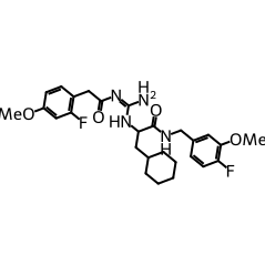 COc1ccc(CC(=O)N=C(N)NC(CC2CCCCC2)C(=O)NCc2ccc(F)c(OC)c2)c(F)c1